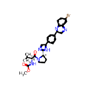 COC(=O)N[C@H](C(=O)N1CCC[C@H]1c1ncc(-c2ccc(-c3cnc4cc(Br)ccc4n3)cc2)[nH]1)C(C)C